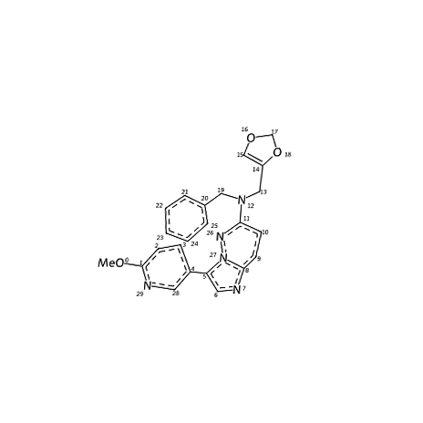 COc1ccc(-c2cnc3ccc(N(CC4=COCO4)Cc4ccccc4)nn23)cn1